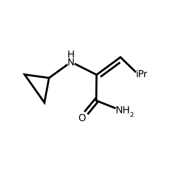 CC(C)C=C(NC1CC1)C(N)=O